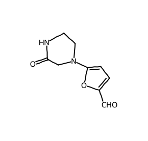 O=Cc1ccc(N2CCNC(=O)C2)o1